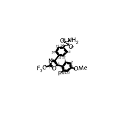 COc1ccc(-c2oc(C(F)(F)F)nc2-c2ccc(S(N)(=O)=O)cc2)c(F)c1